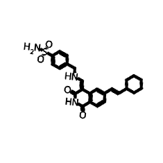 NS(=O)(=O)c1ccc(CNC=C2C(=O)NC(=O)c3ccc(C=CC4CCCCC4)cc32)cc1